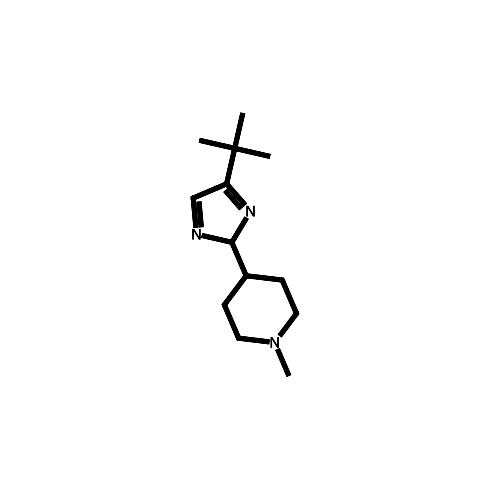 CN1CCC(C2N=CC(C(C)(C)C)=N2)CC1